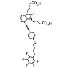 Cc1c(CCCC(=O)O)c2cccc(C#Cc3ccc(OCCCCc4c(F)c(F)c(F)c(F)c4F)cc3)c2n1CCCC(=O)O